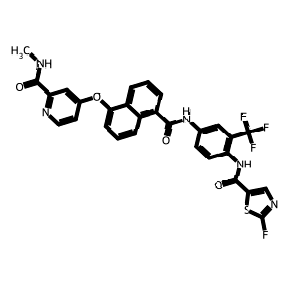 CNC(=O)c1cc(Oc2cccc3c(C(=O)Nc4ccc(NC(=O)c5cnc(F)s5)c(C(F)(F)F)c4)cccc23)ccn1